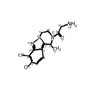 CC1c2c3ccc(Cl)c(Cl)c3nn2CCN1C(=O)CN